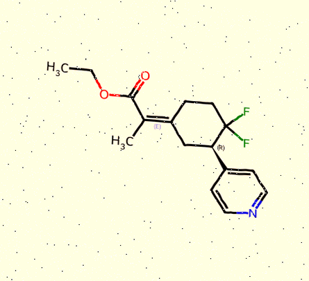 CCOC(=O)/C(C)=C1\CCC(F)(F)[C@@H](c2ccncc2)C1